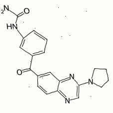 NC(=O)Nc1cccc(C(=O)c2ccc3ncc(N4CCCC4)nc3c2)c1